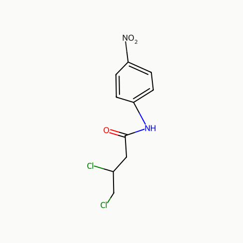 O=C(CC(Cl)CCl)Nc1ccc([N+](=O)[O-])cc1